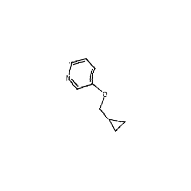 [c]1ccc(OCC2CC2)cn1